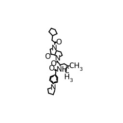 CC(C)CC(NC(=O)c1ccc(N2CCCC2)cc1)C(=O)N1CCC2C1C(=O)CN2C(=O)CC1CCCC1